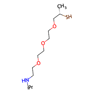 CC(C)NCCOCCOCCOC[C@H](C)S